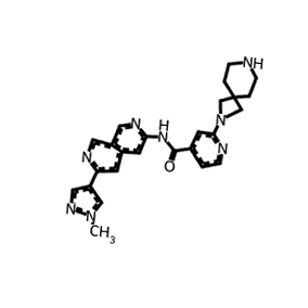 Cn1cc(-c2cc3cc(NC(=O)c4ccnc(N5CC6(CCNCC6)C5)c4)ncc3cn2)cn1